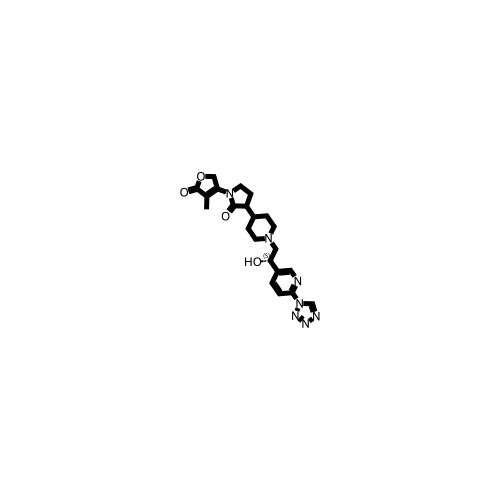 CC1=C(N2CCC(C3CCN(C[C@@H](O)c4ccc(-n5cnnn5)nc4)CC3)C2=O)COC1=O